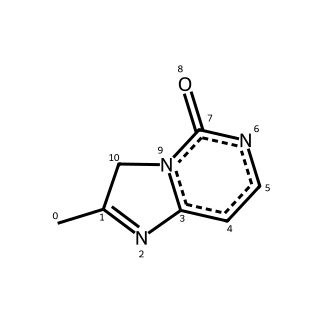 CC1=Nc2ccnc(=O)n2C1